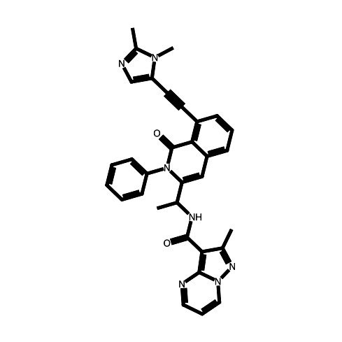 Cc1nn2cccnc2c1C(=O)NC(C)c1cc2cccc(C#Cc3cnc(C)n3C)c2c(=O)n1-c1ccccc1